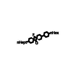 CCCCCCCC1CC[C@]2(CC1)C(=O)[C@@]1(CCC(C3CCC(CCCCCC)CC3)CC1)[C@@H]2F